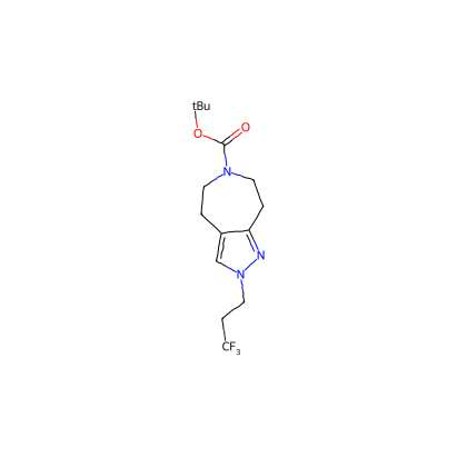 CC(C)(C)OC(=O)N1CCc2cn(CCC(F)(F)F)nc2CC1